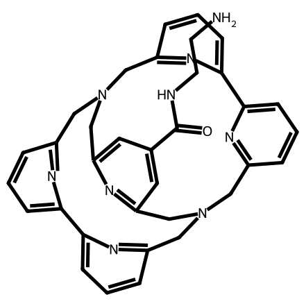 NCCNC(=O)c1cc2nc(c1)CN1Cc3cccc(n3)-c3cccc(n3)CN(C2)Cc2cccc(n2)-c2cccc(n2)C1